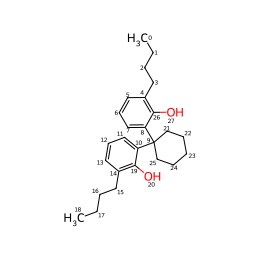 CCCCc1cccc(C2(c3cccc(CCCC)c3O)CCCCC2)c1O